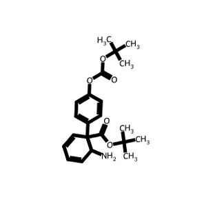 CC(C)(C)OC(=O)Oc1ccc(C2(C(=O)OC(C)(C)C)C=CC=CC2N)cc1